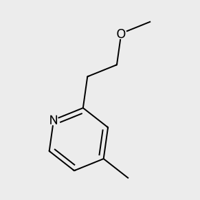 COCCc1cc(C)ccn1